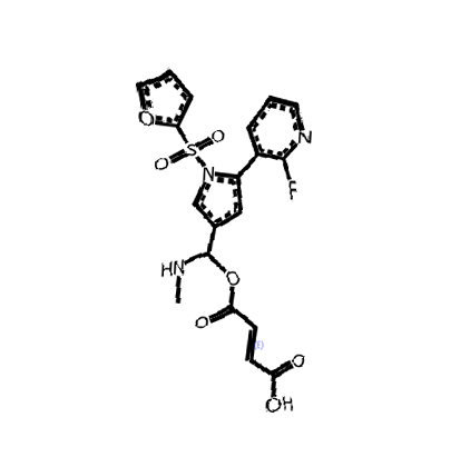 CNC(OC(=O)/C=C/C(=O)O)c1cc(-c2cccnc2F)n(S(=O)(=O)c2ccco2)c1